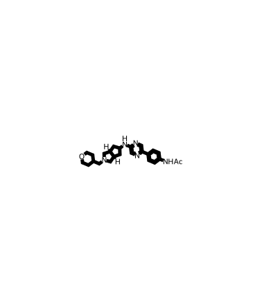 CC(=O)Nc1ccc(-c2cnc(NC3C[C@@H]4CN(CC5CCOCC5)C[C@@H]4C3)cn2)cc1